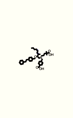 CCC/C=C\C=C(/C)C(CN(CCCC(C)(C)C(=O)O)Cc1ccc(C(=O)O)cc1)OCc1ccc(CCc2ccccc2)cc1